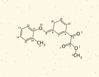 COC(=O)C(=O)C1=CC(=COc2ccccc2C)CC=C1